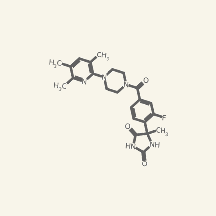 Cc1cc(C)c(N2CCN(C(=O)c3ccc(C4(C)NC(=O)NC4=O)c(F)c3)CC2)nc1C